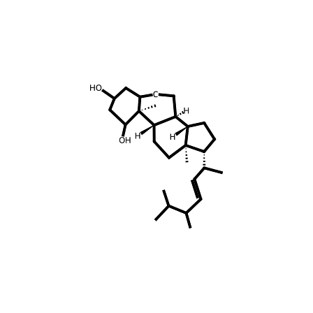 CC(C)C(C)C=CC(C)[C@H]1CC[C@H]2[C@@H]3CCC4CC(O)CC(O)[C@]4(C)[C@H]3CC[C@]12C